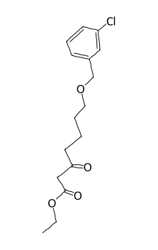 CCOC(=O)CC(=O)CCCCOCc1cccc(Cl)c1